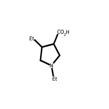 CCC1CN(CC)CC1C(=O)O